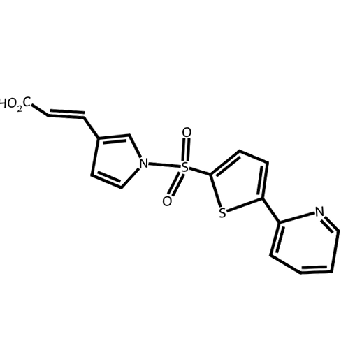 O=C(O)/C=C/c1ccn(S(=O)(=O)c2ccc(-c3ccccn3)s2)c1